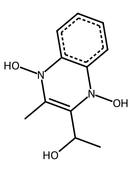 CC1=C(C(C)O)N(O)c2ccccc2N1O